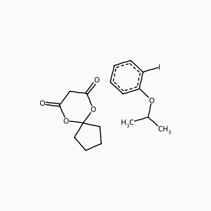 CC(C)Oc1ccccc1I.O=C1CC(=O)OC2(CCCC2)O1